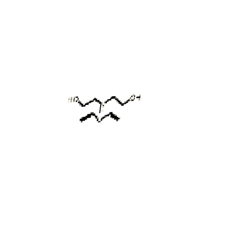 C=COC=C.OCCNCCO